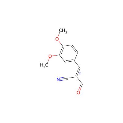 COc1ccc(/C=C(\C#N)C=O)cc1OC